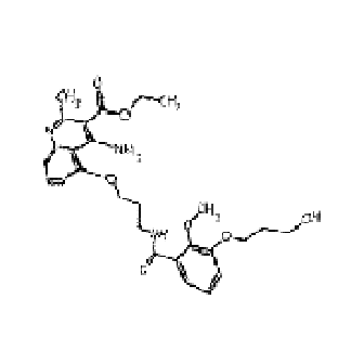 CCOC(=O)c1c(C)nc2cccc(OCCCNC(=O)c3cccc(OCCCO)c3OC)c2c1N